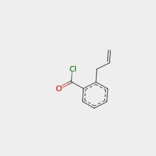 C=CCc1ccccc1C(=O)Cl